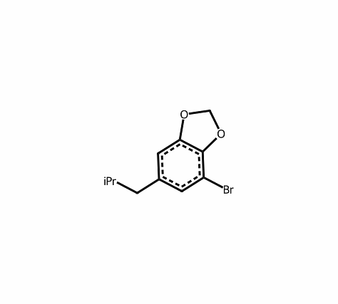 CC(C)Cc1cc(Br)c2c(c1)OCO2